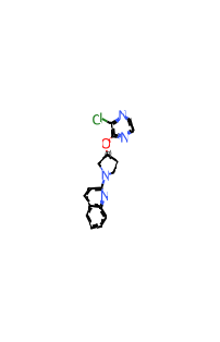 Clc1nccnc1O[C@@H]1CCN(c2ccc3ccccc3n2)C1